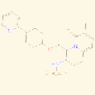 Cc1ccc2n(c1=O)C(COC1CCC(c3ccccn3)CC1)C(NS(C)(=O)=O)CC2